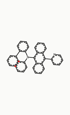 c1ccc(-c2ccccc2N(c2ccccn2)c2c3ccccc3c(-c3ccccn3)c3ccccc23)cc1